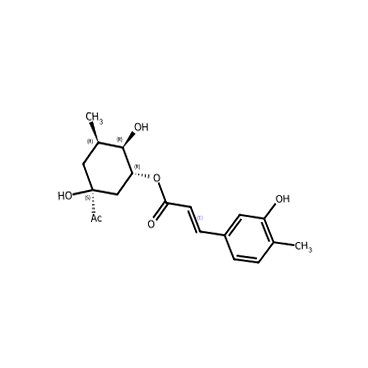 CC(=O)[C@]1(O)C[C@@H](C)[C@@H](O)[C@H](OC(=O)/C=C/c2ccc(C)c(O)c2)C1